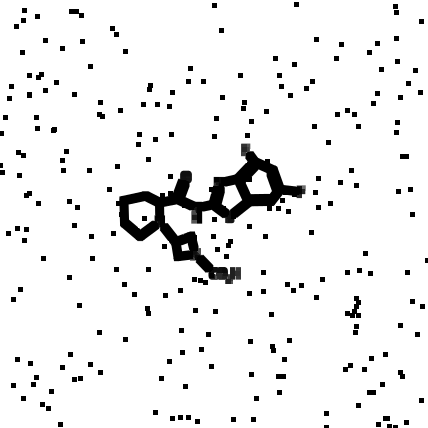 O=C(Nc1nc2c(F)cc(F)cc2s1)C1CCCCN1C1CN(C(=O)O)C1